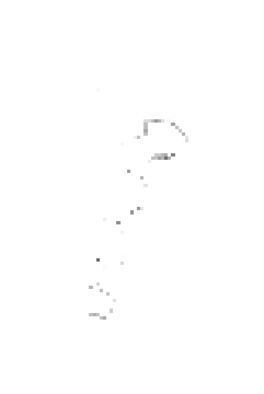 c1ccc(C2CCN([C@H]3CCN(c4ncco4)COC3)CC2)c(OC2CCOCC2)c1